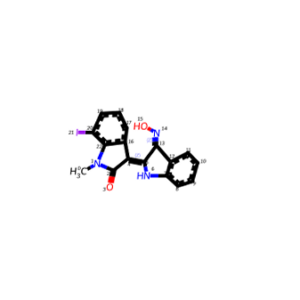 CN1C(=O)/C(=C2\Nc3ccccc3\C2=N\O)c2cccc(I)c21